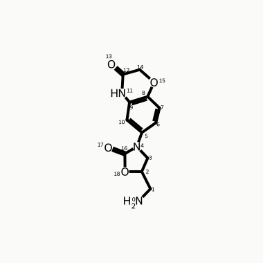 NCC1CN(c2ccc3c(c2)NC(=O)CO3)C(=O)O1